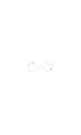 [c]1cnnn1-n1cccn1